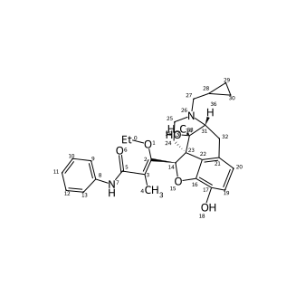 CCO/C(=C(/C)C(=O)Nc1ccccc1)[C@@H]1Oc2c(O)ccc3c2[C@@]12CCN(CC1CC1)[C@H](C3)[C@@]2(C)O